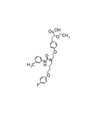 CCOC(Cc1ccc(OCCN(CCCCOc2ccc(F)cc2)C(=O)Nc2cccc(C)c2)cc1)C(=O)O